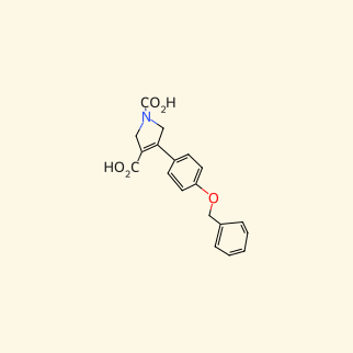 O=C(O)C1=C(c2ccc(OCc3ccccc3)cc2)CN(C(=O)O)C1